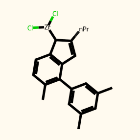 CCCC1=Cc2c(ccc(C)c2-c2cc(C)cc(C)c2)[CH]1[Zr]([Cl])[Cl]